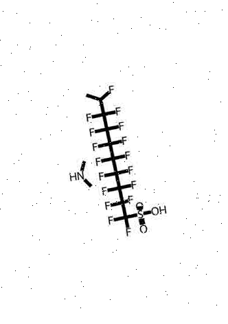 CC(F)C(F)(F)C(F)(F)C(F)(F)C(F)(F)C(F)(F)C(F)(F)C(F)(F)C(F)(F)S(=O)(=O)O.CNC